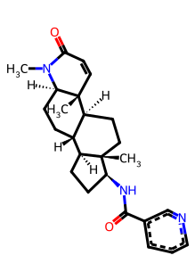 CN1C(=O)C=C[C@]2(C)[C@H]3CC[C@]4(C)[C@@H](NC(=O)c5cccnc5)CC[C@H]4[C@@H]3CC[C@@H]12